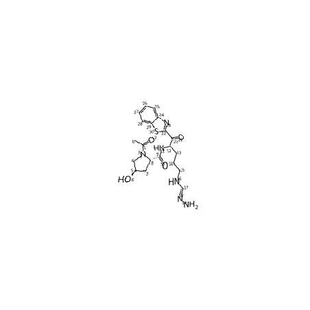 CC(=O)N1C[C@H](O)C[C@H]1C(=O)NC(CCCNC=NN)C(=O)c1nc2ccccc2s1